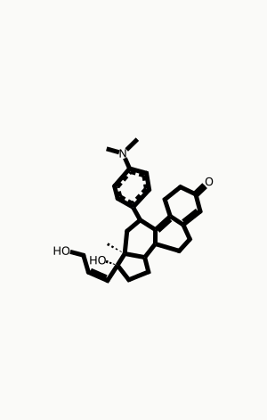 CN(C)c1ccc(C2C[C@@]3(C)C(CC[C@@]3(O)/C=C\CO)C3CCC4=CC(=O)CCC4=C23)cc1